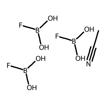 CC#N.OB(O)F.OB(O)F.OB(O)F